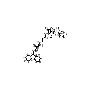 CC(C)(C)OC(=O)N[C@@H](CCCCCNC(=O)OCC1c2ccccc2-c2ccccc21)C(=O)O